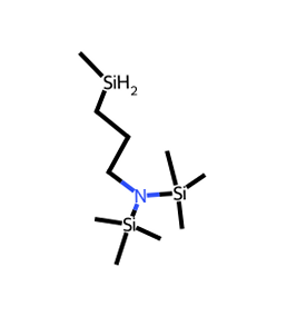 C[SiH2]CCCN([Si](C)(C)C)[Si](C)(C)C